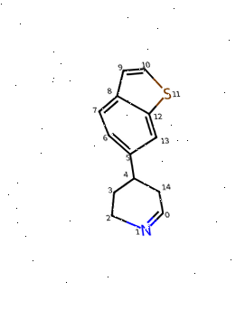 C1=NCCC(c2ccc3ccsc3c2)C1